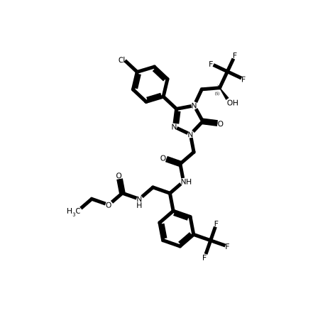 CCOC(=O)NCC(NC(=O)Cn1nc(-c2ccc(Cl)cc2)n(C[C@H](O)C(F)(F)F)c1=O)c1cccc(C(F)(F)F)c1